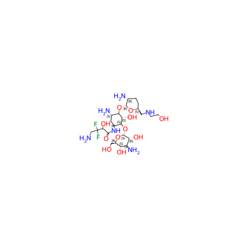 NCC(F)(F)C(O)C(=O)N[C@@H]1C[C@H](N)C(O[C@H]2O[C@H](CNCCO)CC[C@H]2N)[C@H](O)[C@H]1O[C@H]1O[C@H](CO)[C@@H](O)[C@H](N)[C@H]1O